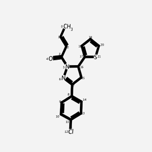 CC=CC(=O)N1N=C(c2ccc(Cl)cc2)CC1c1cccs1